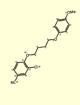 COc1ccc(OCCCCOc2ccc(C#N)cc2Cl)cc1